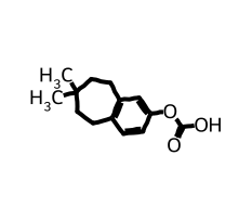 CC1(C)CCc2ccc(OC(=O)O)cc2CC1